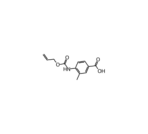 C=CCOC(=O)Nc1ccc(C(=O)O)cc1C